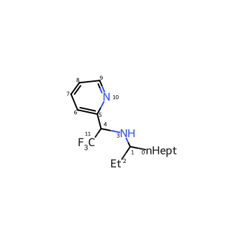 CCCCCCCC(CC)NC(c1ccccn1)C(F)(F)F